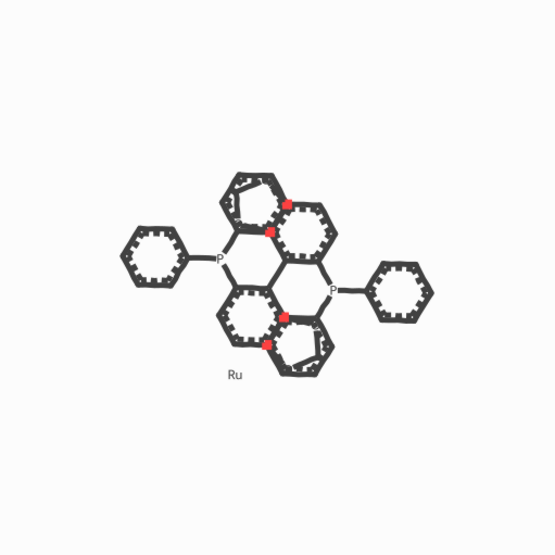 [Ru].c1ccc(P(c2ccccc2)c2ccc3c(c2-c2c(P(c4ccccc4)c4ccccc4)ccc4c2OCO4)OCO3)cc1